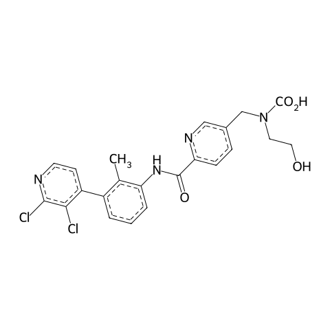 Cc1c(NC(=O)c2ccc(CN(CCO)C(=O)O)cn2)cccc1-c1ccnc(Cl)c1Cl